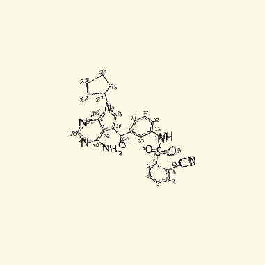 N#Cc1ccccc1S(=O)(=O)Nc1cccc(C(=O)c2cn(C3CCCC3)c3ncnc(N)c23)c1